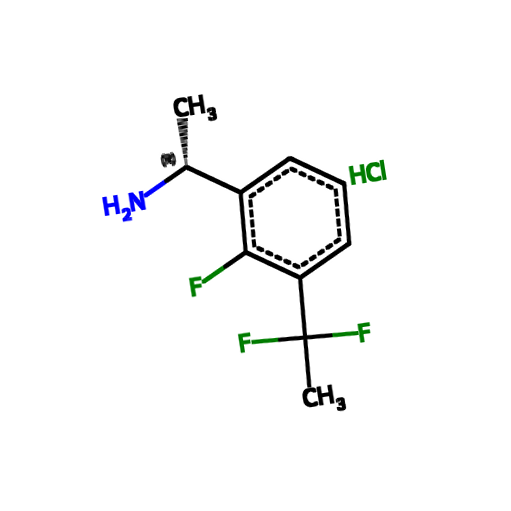 C[C@@H](N)c1cccc(C(C)(F)F)c1F.Cl